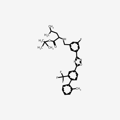 Cc1ccccc1-c1ccc(-c2nc(-c3cc(F)cc(CNC(CC(C)C)C(=O)OC(C)(C)C)c3)no2)cc1C(F)(F)F